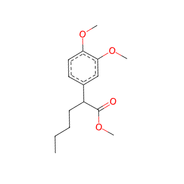 CCCCC(C(=O)OC)c1ccc(OC)c(OC)c1